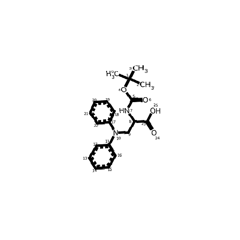 CC(C)(C)OC(=O)NC(CN(c1ccccc1)c1ccccc1)C(=O)O